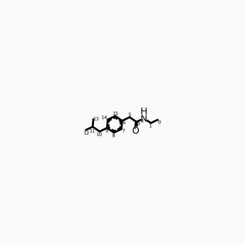 CCNC(=O)Cc1ccc(CC(C)C)cc1